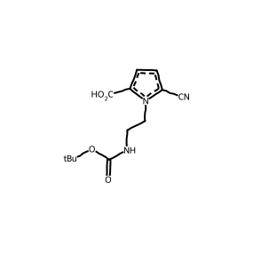 CC(C)(C)OC(=O)NCCn1c(C#N)ccc1C(=O)O